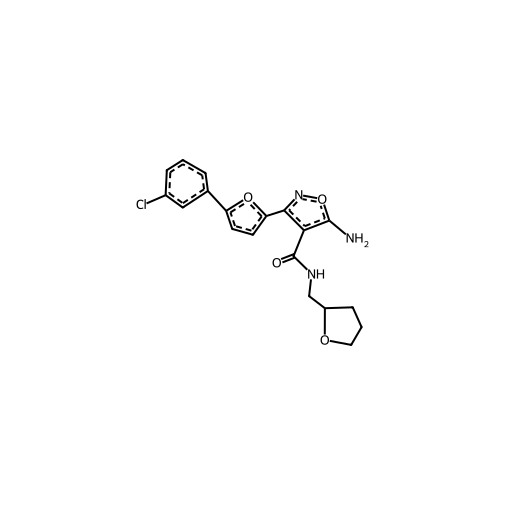 Nc1onc(-c2ccc(-c3cccc(Cl)c3)o2)c1C(=O)NCC1CCCO1